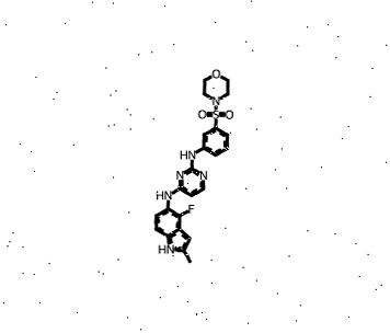 Cc1cc2c(F)c(Nc3ccnc(Nc4cccc(S(=O)(=O)N5CCOCC5)c4)n3)ccc2[nH]1